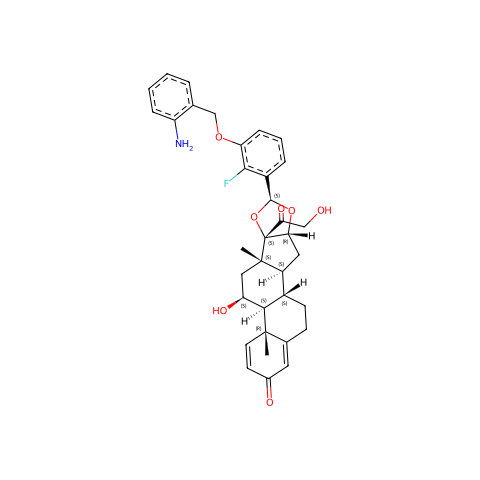 C[C@]12C=CC(=O)C=C1CC[C@@H]1[C@@H]2[C@@H](O)C[C@@]2(C)[C@H]1C[C@H]1O[C@H](c3cccc(OCc4ccccc4N)c3F)O[C@]12C(=O)CO